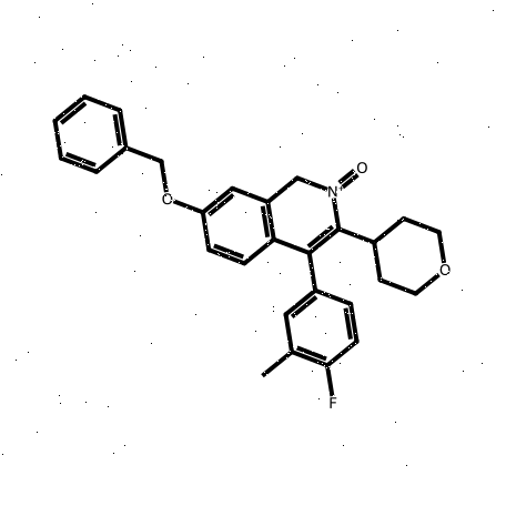 Cc1cc(C2=C(C3CCOCC3)[N+](=O)Cc3cc(OCc4ccccc4)ccc32)ccc1F